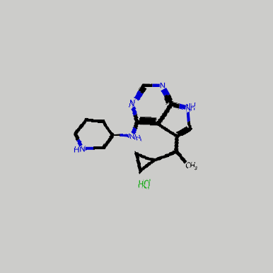 CC(c1c[nH]c2ncnc(N[C@@H]3CCCNC3)c12)C1CC1.Cl